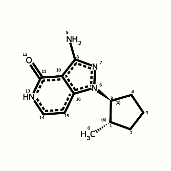 C[C@H]1CCC[C@@H]1n1nc(N)c2c(=O)[nH]ccc21